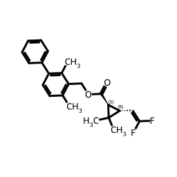 Cc1ccc(-c2ccccc2)c(C)c1COC(=O)[C@H]1[C@H](C=C(F)F)C1(C)C